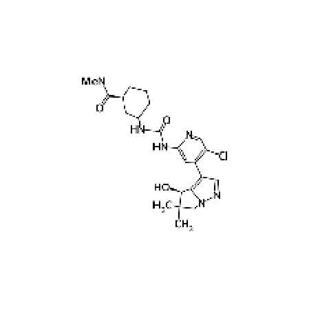 CNC(=O)[C@H]1CCC[C@@H](NC(=O)Nc2cc(-c3cnn4c3[C@H](O)C(C)(C)C4)c(Cl)cn2)C1